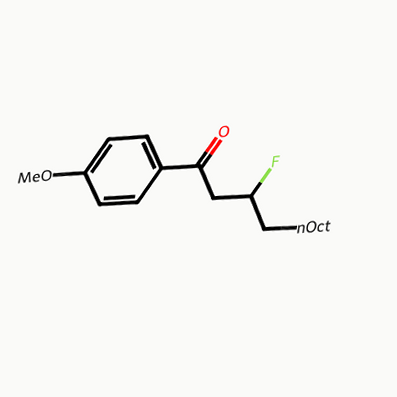 CCCCCCCCCC(F)CC(=O)c1ccc(OC)cc1